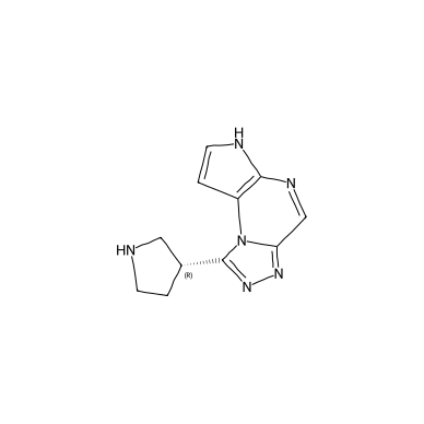 c1cc2c(ncc3nnc([C@@H]4CCNC4)n32)[nH]1